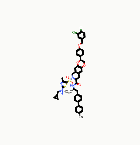 Cc1nc(NCC2CC2)sc1S(=O)(=O)N1Cc2cc3c(cc2CC1C(=O)N[C@@H](Cc1ccc(-c2ccc(C#N)cc2)cc1)C(=O)O)OC[C@H](c1ccc(OCc2ccc(Cl)c(Cl)c2)cc1)O3